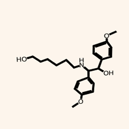 COc1ccc(C(O)C(NCCCCCCO)c2ccc(OC)cc2)cc1